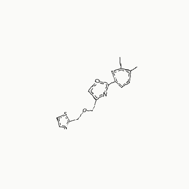 Cc1ccc(-c2nc(COCc3nccs3)co2)cc1C